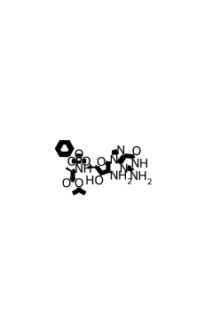 CC(C)OC(=O)[C@@H](C)NP(=O)(OC[C@H]1O[C@@H](n2cnc3c(=O)[nH]c(N)nc32)[C@H](N)[C@@H]1O)Oc1ccccc1